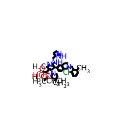 Cc1cccc(Cl)c1CN1CCc2cc(-c3c(NCc4ccn[nH]4)nc(C)c([C@H](OC(C)(C)C)C(=O)O)c3N3CCC(C)(C)CC3)ccc2C1